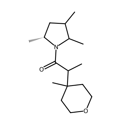 CC1C[C@@H](C)N(C(=O)C(C)C2(C)CCOCC2)C1C